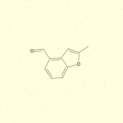 Cc1cc2c(C=O)cccc2o1